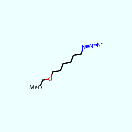 COCOCCCCCCN=[N+]=[N-]